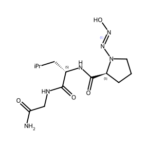 CC(C)C[C@H](NC(=O)[C@@H]1CCCN1/N=N/O)C(=O)NCC(N)=O